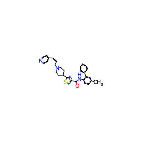 Cc1ccc(NC(=O)c2csc(C3CCN(C/C=C\c4ccncc4)CC3)n2)c(-c2ccccc2)c1